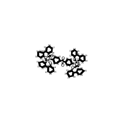 O=S(=O)(c1ccc(N(P2(=S)Oc3ccccc3-c3ccccc32)P2(=S)Oc3ccccc3-c3ccccc32)cc1)c1ccc(N(P2(=S)Oc3ccccc3-c3ccccc32)P2(=S)Oc3ccccc3-c3ccccc32)cc1